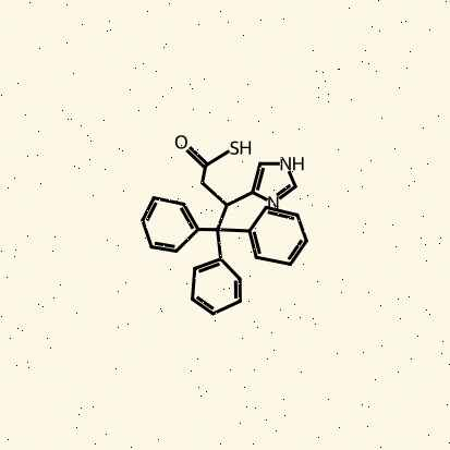 O=C(S)CC(c1c[nH]cn1)C(c1ccccc1)(c1ccccc1)c1ccccc1